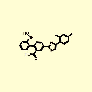 Cc1ccc(-c2csc(-c3ccc(-c4ccccc4NO)c(C(=O)O)c3)n2)c(C)c1